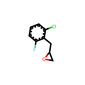 Fc1cccc(Cl)c1CC1CO1